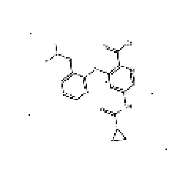 CCC(=O)c1ncc(NC(=O)C2CC2)cc1Nc1ncccc1SC(F)F